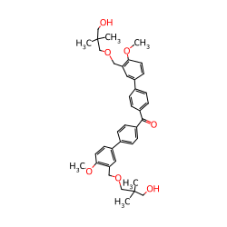 COc1ccc(-c2ccc(C(=O)c3ccc(-c4ccc(OC)c(COCC(C)(C)CO)c4)cc3)cc2)cc1COCC(C)(C)CO